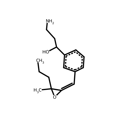 CCCC1(C)OC1=Cc1cccc(C(O)CCN)c1